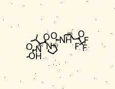 COC(=O)N[C@H](C(=O)N1CCC[C@H]1C(=O)NC[C@H](C)CC(=O)C(F)(F)F)C(C)C